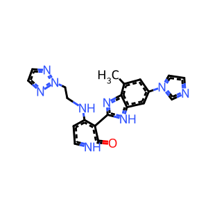 Cc1cc(-n2ccnc2)cc2[nH]c(-c3c(NCCn4nccn4)cc[nH]c3=O)nc12